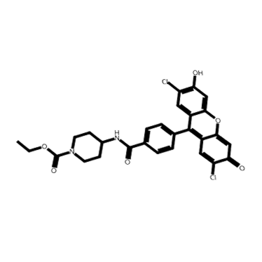 CCOC(=O)N1CCC(NC(=O)c2ccc(-c3c4cc(Cl)c(=O)cc-4oc4cc(O)c(Cl)cc34)cc2)CC1